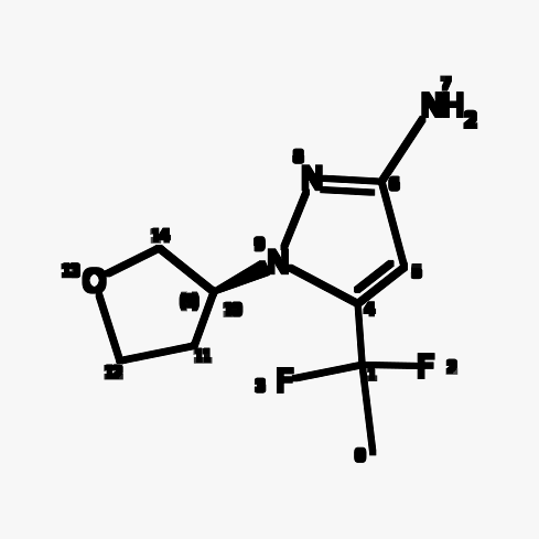 CC(F)(F)c1cc(N)nn1[C@H]1CCOC1